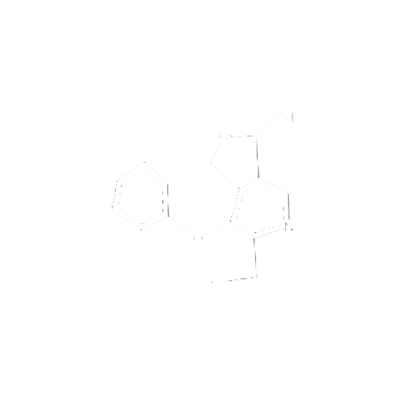 CC1OCc2c1cnc(CCl)c2Oc1ccccc1